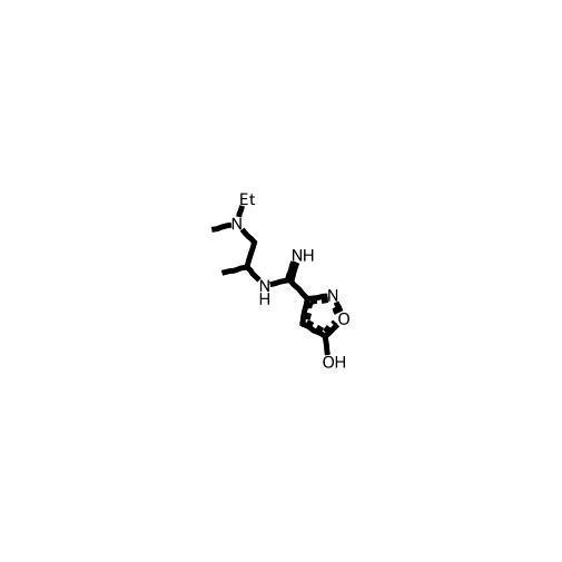 CCN(C)CC(C)NC(=N)c1cc(O)on1